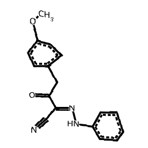 COc1ccc(CC(=O)C(C#N)=NNc2ccccc2)cc1